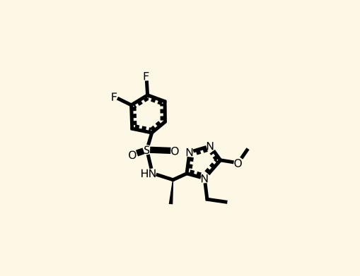 CCn1c(OC)nnc1[C@@H](C)NS(=O)(=O)c1ccc(F)c(F)c1